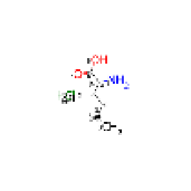 C[Se]CC[C@H](N)C(=O)O.Cl.[Zn]